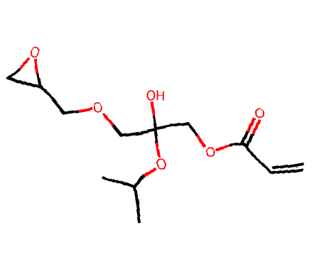 C=CC(=O)OCC(O)(COCC1CO1)OC(C)C